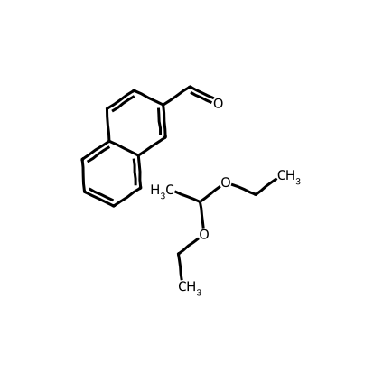 CCOC(C)OCC.O=Cc1ccc2ccccc2c1